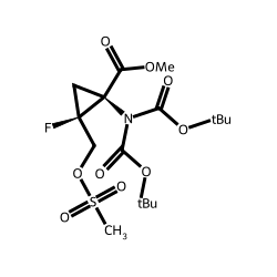 COC(=O)[C@@]1(N(C(=O)OC(C)(C)C)C(=O)OC(C)(C)C)C[C@@]1(F)COS(C)(=O)=O